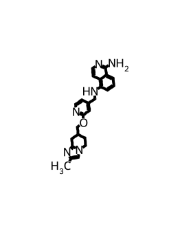 Cc1cn2c(n1)CC(COc1cc(CNc3cccc4c(N)nccc34)ccn1)CC2